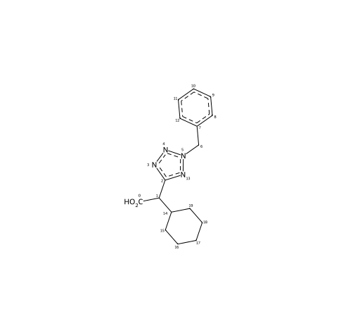 O=C(O)C(c1nnn(Cc2ccccc2)n1)C1CCCCC1